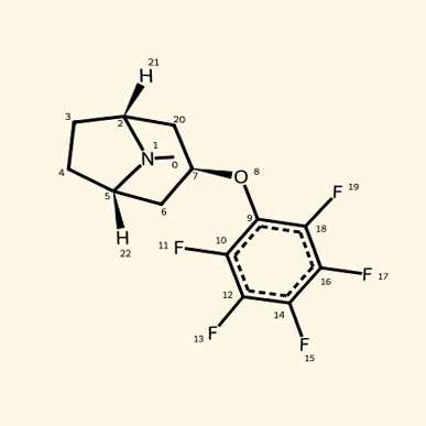 CN1[C@@H]2CC[C@H]1C[C@H](Oc1c(F)c(F)c(F)c(F)c1F)C2